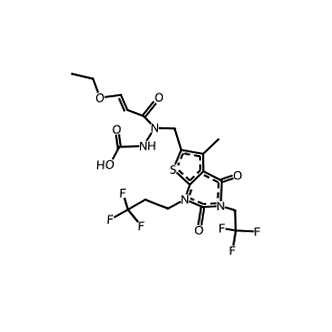 CCOC=CC(=O)N(Cc1sc2c(c1C)c(=O)n(CC(F)(F)F)c(=O)n2CCC(F)(F)F)NC(=O)O